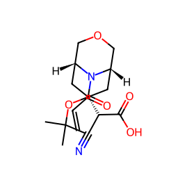 C=C[C@]1(C(C#N)C(=O)O)C[C@H]2COC[C@@H](C1)N2C(=O)OC(C)(C)C